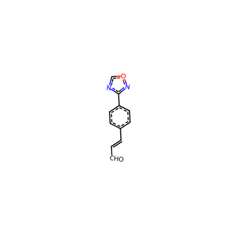 O=CC=Cc1ccc(-c2ncon2)cc1